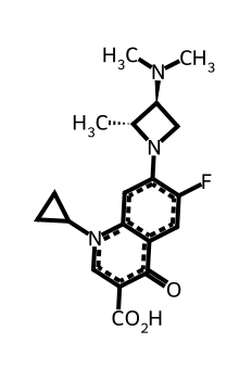 C[C@@H]1[C@@H](N(C)C)CN1c1cc2c(cc1F)c(=O)c(C(=O)O)cn2C1CC1